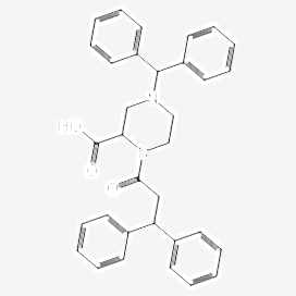 O=C(O)C1CN(C(c2ccccc2)c2ccccc2)CCN1C(=O)CC(c1ccccc1)c1ccccc1